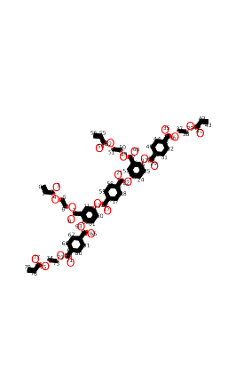 C=CC(=O)OCCOC(=O)c1cc(OC(=O)C2CCC(C(=O)Oc3ccc(OC(=O)C4CCC(C(=O)OCCOC(=O)C=C)CC4)c(C(=O)OCCOC(=O)C=C)c3)CC2)ccc1OC(=O)C1CCC(C(=O)OCCOC(=O)C=C)CC1